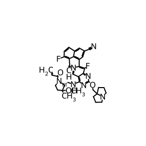 C#Cc1c(F)ccc2cc(C#N)cc(-c3ncc4c(N(C)C[C@H]5N(C(=O)C=C)CCC5(C)O)nc(OCC56CCCN5CCC6)nc4c3F)c12